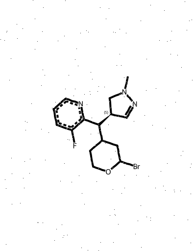 CN1C[C@H](C(c2ncccc2F)C2CCOC(Br)C2)C=N1